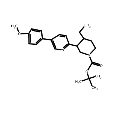 CCC1CCN(C(=O)OC(C)(C)C)CC1c1ccc(-c2ccc(OC)cc2)cn1